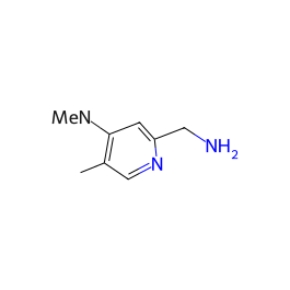 CNc1cc(CN)ncc1C